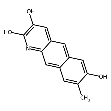 Cc1cc2cc3nc(O)c(O)cc3cc2cc1O